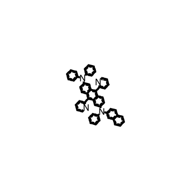 c1ccc(N(c2ccccc2)c2ccc3c(-c4ccccn4)c4cc(N(c5ccccc5)c5ccc6ccccc6c5)ccc4c(-c4ccccn4)c3c2)cc1